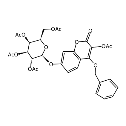 CC(=O)OC[C@H]1O[C@@H](Oc2ccc3c(OCc4ccccc4)c(OC(C)=O)c(=O)oc3c2)[C@H](OC(C)=O)[C@@H](OC(C)=O)[C@H]1OC(C)=O